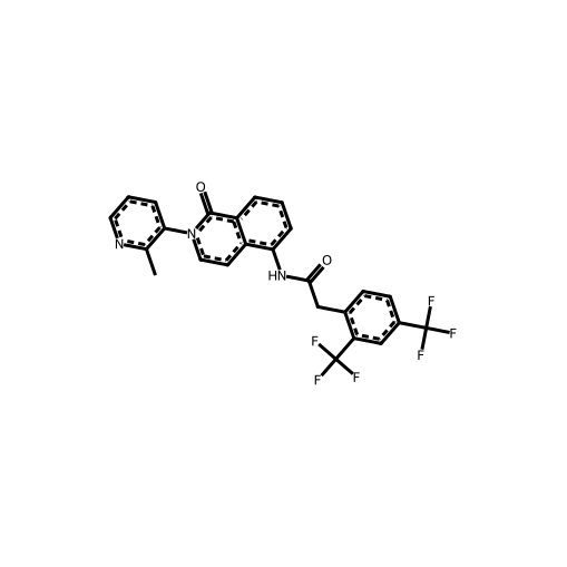 Cc1ncccc1-n1ccc2c(NC(=O)Cc3ccc(C(F)(F)F)cc3C(F)(F)F)cccc2c1=O